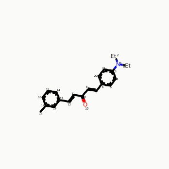 CCN(CC)c1ccc(C=CC(=O)C=Cc2cccc(C)c2)cc1